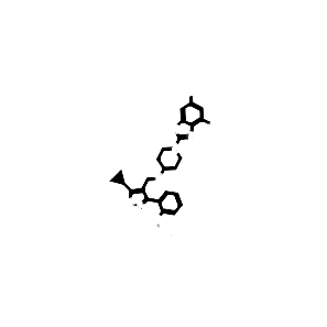 O=C(O)c1cc(F)c2nc(N3CCC(OCc4c(-c5ccccc5OC(F)(F)F)noc4C4CC4)CC3)sc2c1